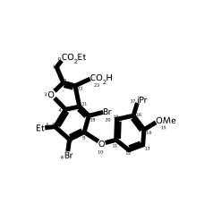 CCOC(=O)Cc1oc2c(CC)c(Br)c(Oc3ccc(OC)c(C(C)C)c3)c(Br)c2c1C(=O)O